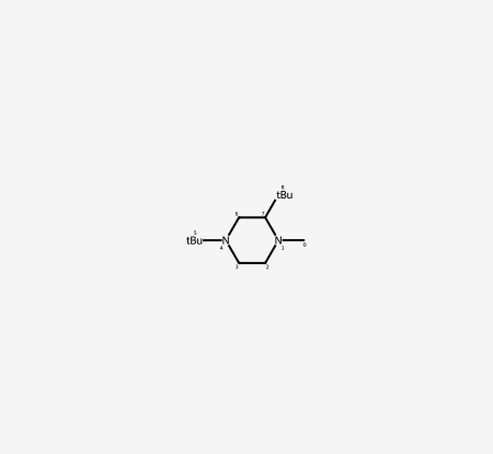 CN1CCN(C(C)(C)C)CC1C(C)(C)C